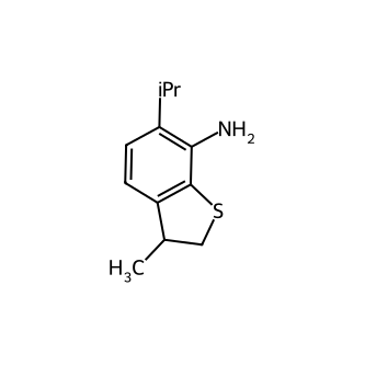 CC(C)c1ccc2c(c1N)SCC2C